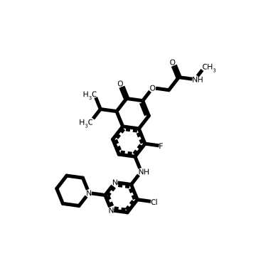 CNC(=O)COC1=Cc2c(ccc(Nc3nc(N4CCCCC4)ncc3Cl)c2F)C(C(C)C)C1=O